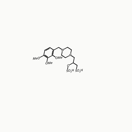 COc1ccc(CN2CCN(CC(CS(=O)(=O)O)OS(=O)(=O)O)CC2)c(OC)c1OC